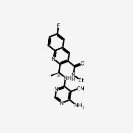 CCNC(=O)c1cc2cc(F)ccc2nc1[C@H](C)Nc1ncnc(N)c1C#N